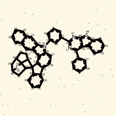 c1ccc(-c2nc(-c3cccc(-n4c5cc6ccccc6cc5c5c6c(ccc54)-c4ccccc4C64C5CC6CC7CC4C5(C6)C7)c3)nc3sc4ccccc4c23)cc1